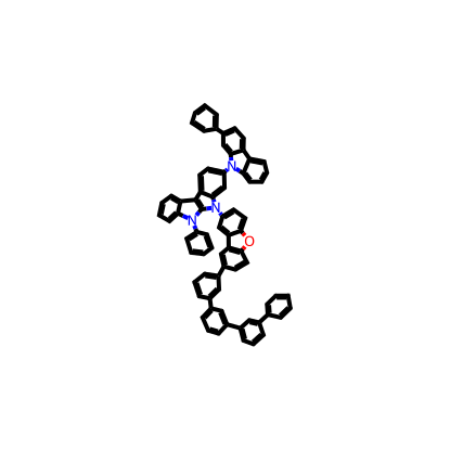 c1ccc(-c2cccc(-c3cccc(-c4cccc(-c5ccc6oc7ccc(-n8c9cc(-n%10c%11ccccc%11c%11ccc(-c%12ccccc%12)cc%11%10)ccc9c9c%10ccccc%10n(-c%10ccccc%10)c98)cc7c6c5)c4)c3)c2)cc1